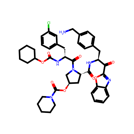 NCc1ccc(C[C@H](NC(=O)[C@@H]2C[C@@H](OC(=O)N3CCCCC3)CN2C(=O)[C@@H](Cc2cccc(Cl)c2)NC(=O)OC2CCCCC2)C(=O)c2nc3ccccc3o2)cc1